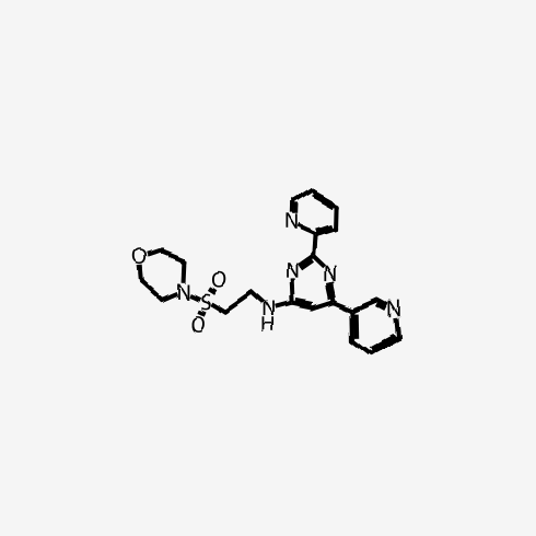 O=S(=O)(CCNc1cc(-c2cccnc2)nc(-c2ccccn2)n1)N1CCOCC1